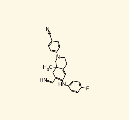 CC12CC(C=N)=C(Nc3ccc(F)cc3)C=C1CCN(c1ccc(C#N)cc1)C2